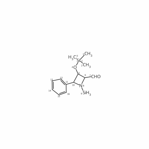 C[Si](C)(C)OC1C(C=O)N([SiH3])C1c1ccccc1